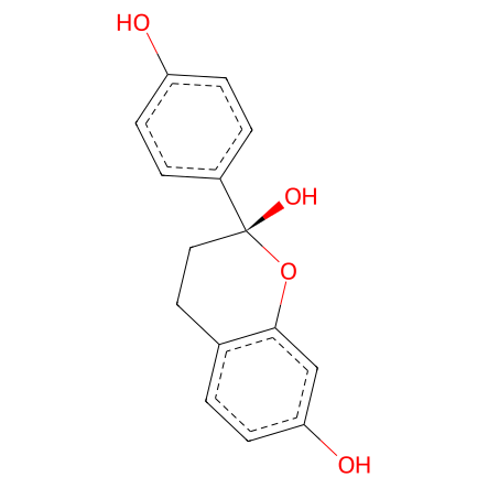 Oc1ccc([C@@]2(O)CCc3ccc(O)cc3O2)cc1